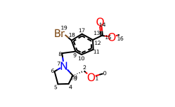 COC[C@@H]1CCCN1Cc1ccc(C(=O)OC)cc1Br